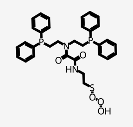 O=C(NCCSOOO)C(=O)N(CCP(c1ccccc1)c1ccccc1)CCP(c1ccccc1)c1ccccc1